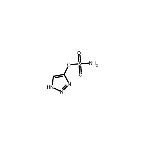 NS(=O)(=O)Oc1c[nH]nn1